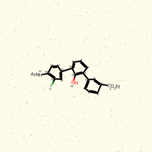 CCOC(=O)c1cccc(-c2cccc(-c3ccc(NC(C)=O)c(F)c3)c2O)c1